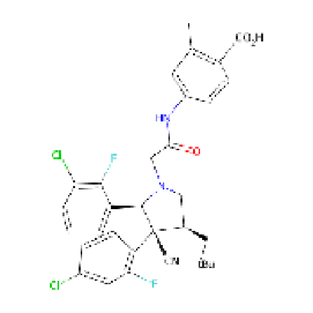 Cc1cc(NC(=O)CN2C[C@@H](CC(C)(C)C)[C@](C#N)(c3ccc(Cl)cc3F)[C@H]2c2cccc(Cl)c2F)ccc1C(=O)O